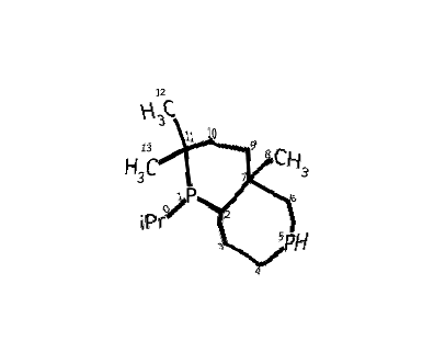 CC(C)P1C2CCPCC2(C)CCC1(C)C